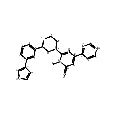 Cn1c(N2CCOC(c3cccc(-c4ccoc4)c3)C2)nc(-c2ccncn2)cc1=O